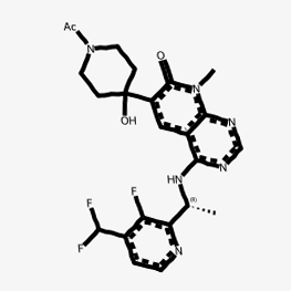 CC(=O)N1CCC(O)(c2cc3c(N[C@H](C)c4nccc(C(F)F)c4F)ncnc3n(C)c2=O)CC1